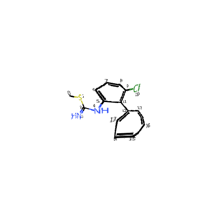 CSC(=N)Nc1cccc(Cl)c1-c1ccccc1